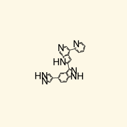 c1ccc(-c2cncc3[nH]c(-c4n[nH]c5ccc(-c6cn[nH]c6)cc45)cc23)nc1